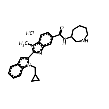 Cl.Cn1c(-c2cc3ccccc3n2CC2CC2)nc2cc(C(=O)NC3CCCCNC3)ccc21